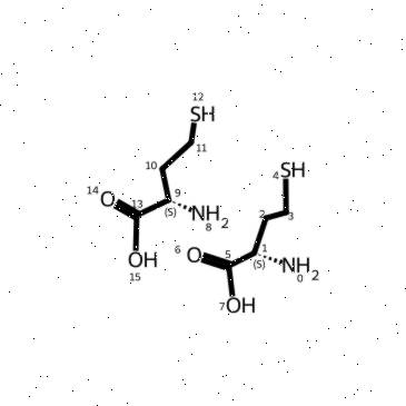 N[C@@H](CCS)C(=O)O.N[C@@H](CCS)C(=O)O